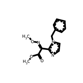 CON=C(C(=O)OC)c1nccn1Cc1ccccc1